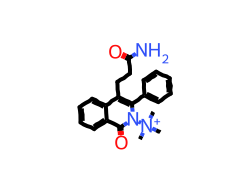 C[N+](C)(C)n1c(-c2ccccc2)c(CCC(N)=O)c2ccccc2c1=O